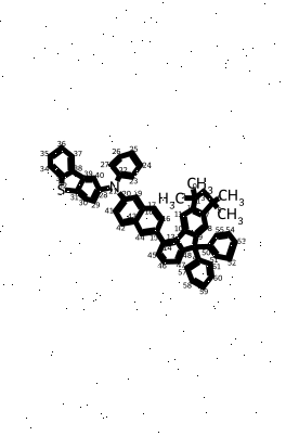 CC1(C)CC(C)(C)c2cc3c(cc21)-c1c(-c2ccc4cc(N(c5ccccc5)c5ccc6sc7ccccc7c6c5)ccc4c2)cccc1C3(c1ccccc1)c1ccccc1